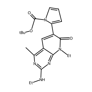 CCNc1nc(C)c2cc(-c3cccn3C(=O)OC(C)(C)C)c(=O)n(CC)c2n1